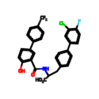 O=C(NC(Cc1ccc(-c2ccc(F)c(Cl)c2)cc1)C(=O)O)c1cc(-c2ccc(C(F)(F)F)cc2)ccc1O